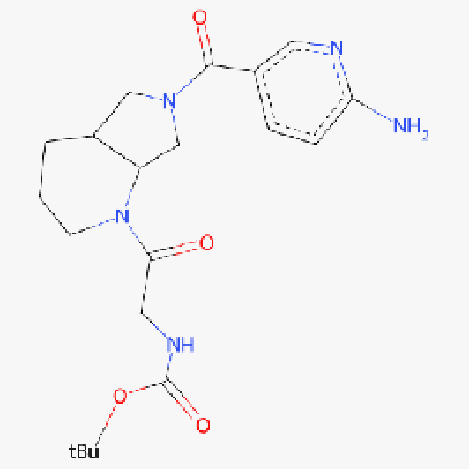 CC(C)(C)OC(=O)NCC(=O)N1CCCC2CN(C(=O)c3ccc(N)nc3)CC21